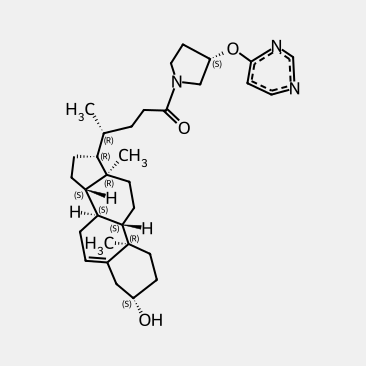 C[C@H](CCC(=O)N1CC[C@H](Oc2ccncn2)C1)[C@H]1CC[C@H]2[C@@H]3CC=C4C[C@@H](O)CC[C@]4(C)[C@H]3CC[C@]12C